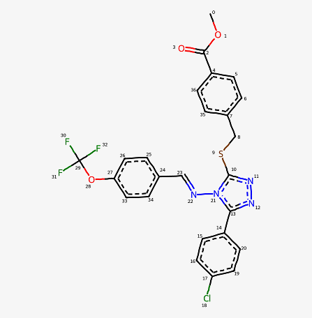 COC(=O)c1ccc(CSc2nnc(-c3ccc(Cl)cc3)n2N=Cc2ccc(OC(F)(F)F)cc2)cc1